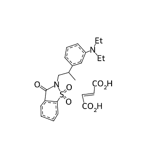 CCN(CC)c1cccc(C(C)CN2C(=O)c3ccccc3S2(=O)=O)c1.O=C(O)C=CC(=O)O